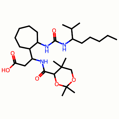 CCCCCC(NC(=O)NC1CCCCCC1C(CC(=O)O)NC(=O)C1OC(C)(C)OCC1(C)C)C(C)C